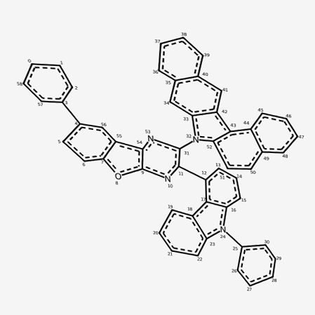 c1ccc(-c2ccc3oc4nc(-c5cccc6c5c5ccccc5n6-c5ccccc5)c(-n5c6cc7ccccc7cc6c6c7ccccc7ccc65)nc4c3c2)cc1